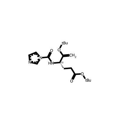 C=C(OC(C)(C)C)[C@H](CCC(=O)OC(C)(C)C)NC(=O)n1ccnc1